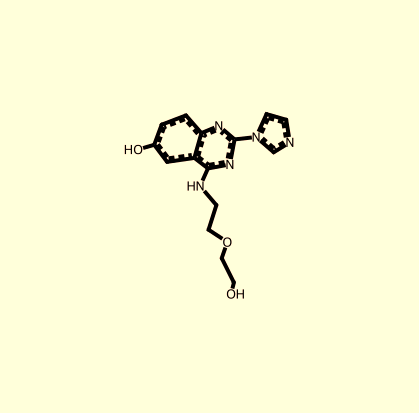 OCCOCCNc1nc(-n2ccnc2)nc2ccc(O)cc12